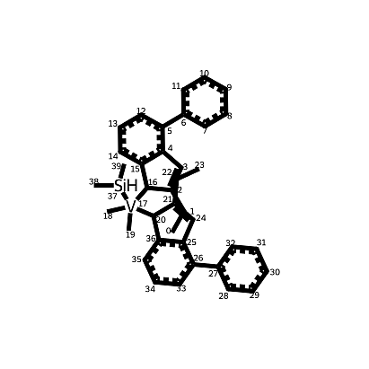 CCC1=Cc2c(-c3ccccc3)cccc2[CH]1[V]([CH3])([CH3])([CH]1C(CC)=Cc2c(-c3ccccc3)cccc21)[SiH](C)C